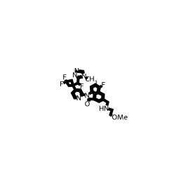 COCCNCc1cc2c3c(ccc(F)c3c1)N(c1cc(C3(C(F)c4nncn4C)CC(F)(F)C3)ccn1)C2=O